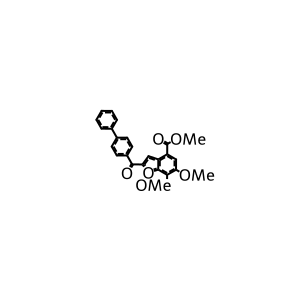 COC(=O)c1cc(OC)c(OC)c2oc(C(=O)c3ccc(-c4ccccc4)cc3)cc12